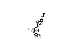 C[C@@H](/C=C/c1cnc(Oc2ccc(OCC3CC3)cc2Cl)s1)NC(=O)c1ccnc(C=O)c1